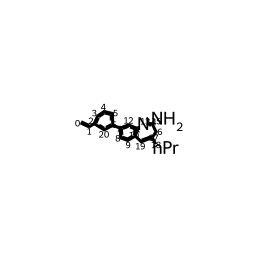 C=Cc1cccc(-c2ccc3c(c2)N=C(N)CC(CCC)=C3)c1